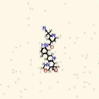 Cc1ccc(NC(=O)c2ccnc(C(C)(C)C#N)c2)cc1C1C=NC2=C(C1)N1CCOCC1C1(COC1)C2